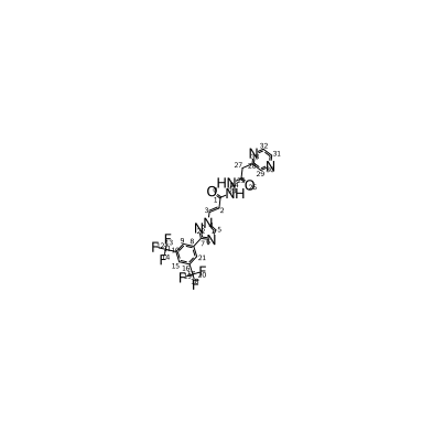 O=C(C=Cn1cnc(-c2cc(C(F)(F)F)cc(C(F)(F)F)c2)n1)NNC(=O)Cc1cnccn1